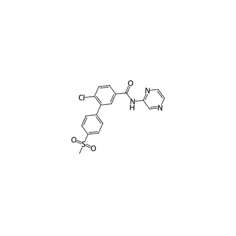 CS(=O)(=O)c1ccc(-c2cc(C(=O)Nc3cnccn3)ccc2Cl)cc1